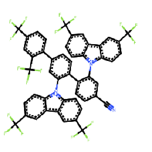 N#Cc1ccc(-c2ccc(-c3ccc(C(F)(F)F)cc3C(F)(F)F)cc2-n2c3ccc(C(F)(F)F)cc3c3cc(C(F)(F)F)ccc32)c(-n2c3ccc(C(F)(F)F)cc3c3cc(C(F)(F)F)ccc32)c1